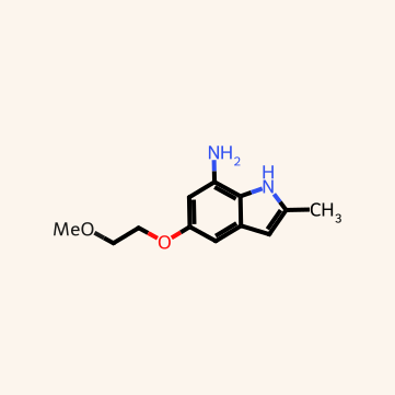 COCCOc1cc(N)c2[nH]c(C)cc2c1